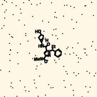 CC[C@@H](c1ccccc1)n1nc(C(=O)NC)cc1C(=O)NC1C2CC(O)C[C@H]21